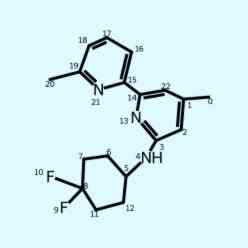 Cc1cc(NC2CCC(F)(F)CC2)nc(-c2cccc(C)n2)c1